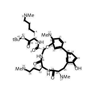 CNCCCC[C@H](NC(=O)[C@@H]1Cc2cc(ccc2NC)-c2ccc(O)c(c2)C[C@H](NC)C(=O)N[C@@H](CCCNC)C(=O)N1)C(=O)OC(C)(C)C